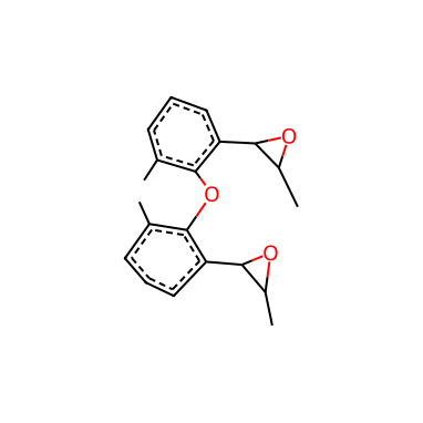 Cc1cccc(C2OC2C)c1Oc1c(C)cccc1C1OC1C